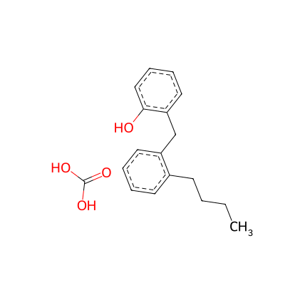 CCCCc1ccccc1Cc1ccccc1O.O=C(O)O